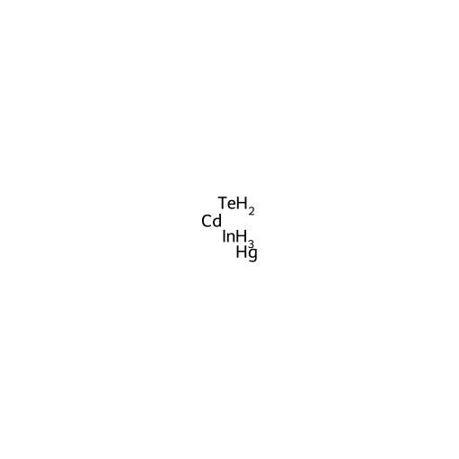 [Cd].[Hg].[InH3].[TeH2]